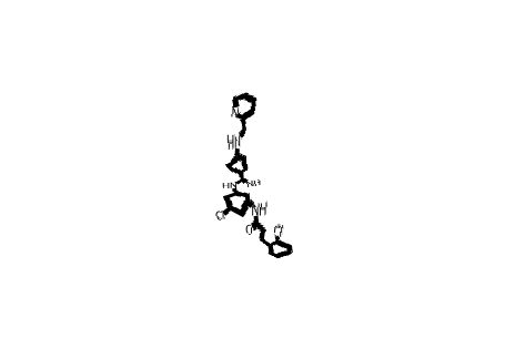 N=C(Nc1cc(Cl)cc(NC(=O)C=Cc2ccccc2Cl)c1)c1ccc(NCc2ccccn2)cc1